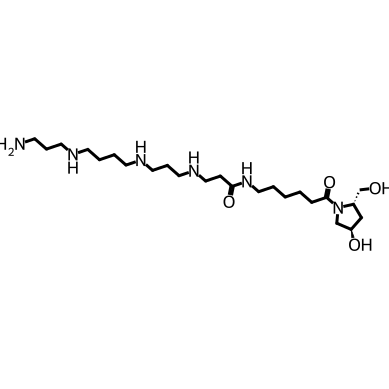 NCCCNCCCCNCCCNCCC(=O)NCCCCCC(=O)N1C[C@H](O)C[C@H]1CO